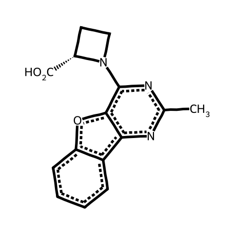 Cc1nc(N2CC[C@H]2C(=O)O)c2oc3ccccc3c2n1